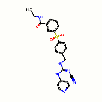 CCNC(=O)c1cccc(S(=O)(=O)c2ccc(CNC(=NC#N)Nc3ccncc3)cc2)c1